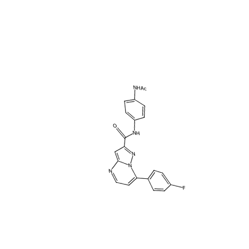 CC(=O)Nc1ccc(NC(=O)c2cc3nccc(-c4ccc(F)cc4)n3n2)cc1